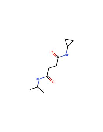 CC(C)NC(=O)CCC(=O)NC1CC1